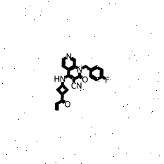 C=CC(=O)C1CC(Nc2c(C#N)c(=O)n(Cc3ccc(F)cc3)c3cnccc23)C1